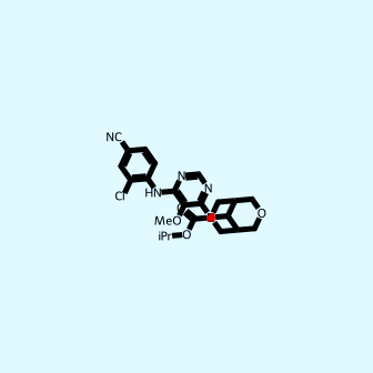 COc1c(Nc2ccc(C#N)cc2Cl)ncnc1OC1C2COCC1CN(C(=O)OC(C)C)C2